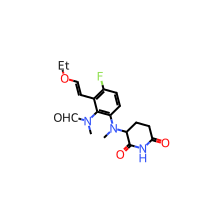 CCO/C=C/c1c(F)ccc(N(C)C2CCC(=O)NC2=O)c1N(C)C=O